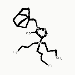 CCC[CH2][Sn]([CH2]CCC)([CH2]CCC)[c]1nnn(CC23CC4CC(CC(C4)O2)C3)c1C